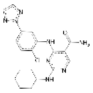 NC(=O)c1cnc(NC2CCCCC2)nc1Nc1cc(-n2nccn2)ccc1Cl